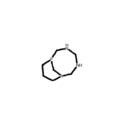 C1CN2CNCNCP(C1)C2